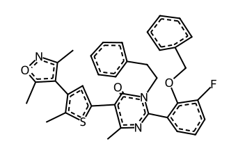 Cc1noc(C)c1-c1cc(-c2c(C)nc(-c3cccc(F)c3OCc3ccccc3)n(CCc3ccccc3)c2=O)sc1C